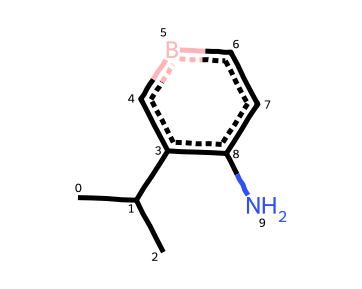 CC(C)c1cbccc1N